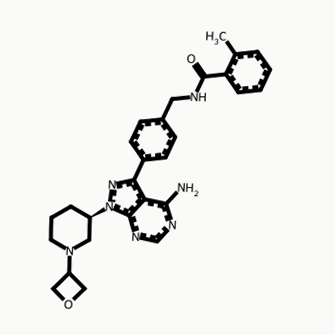 Cc1ccccc1C(=O)NCc1ccc(-c2nn([C@@H]3CCCN(C4COC4)C3)c3ncnc(N)c23)cc1